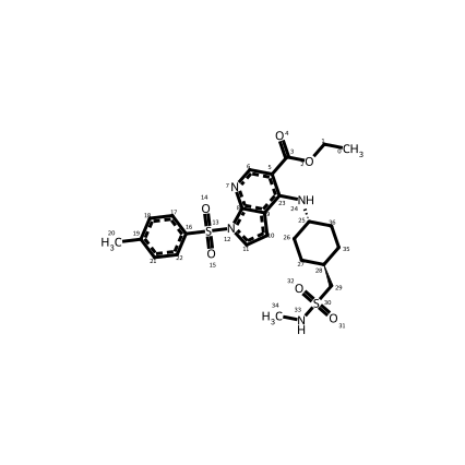 CCOC(=O)c1cnc2c(ccn2S(=O)(=O)c2ccc(C)cc2)c1N[C@H]1CC[C@H](CS(=O)(=O)NC)CC1